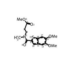 COC(=O)CCN(C)C(=O)c1cc2cc(OC)c(OC)cc2s1